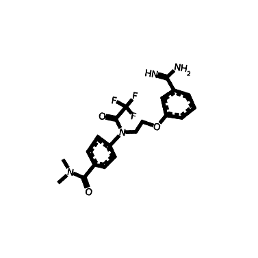 CN(C)C(=O)c1ccc(N(CCOc2cccc(C(=N)N)c2)C(=O)C(F)(F)F)cc1